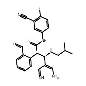 CC(C)CN[C@@H](/C(C=N)=C/N)[C@H](C(=O)Nc1ccc(F)c(C#N)c1)c1ccccc1C=O